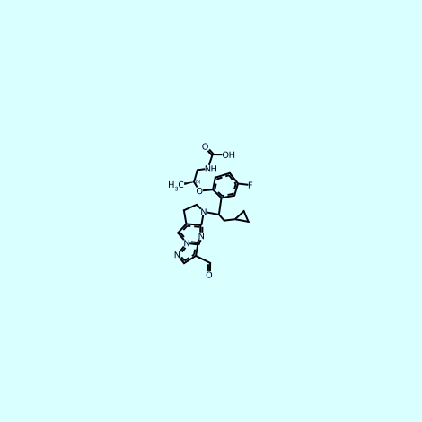 C[C@@H](CNC(=O)O)Oc1ccc(F)cc1C(CC1CC1)N1CCc2cn3ncc(C=O)c3nc21